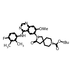 COc1cc2ncnc(Nc3ccc(F)c(C)c3C)c2cc1N1CC2(CCN(C(=O)OC(C)(C)C)CC2)CC1=O